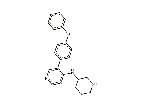 c1ccc(Oc2ccc(-c3cncnc3NC3CCCNC3)cc2)cc1